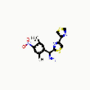 Cc1cc([N+](=O)[O-])c(C)cc1C(N)c1nc(-c2cscn2)cs1